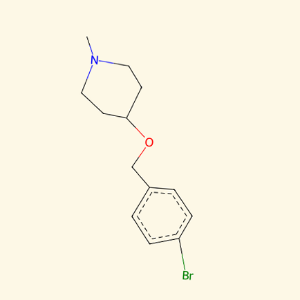 CN1CCC(OCc2ccc(Br)cc2)CC1